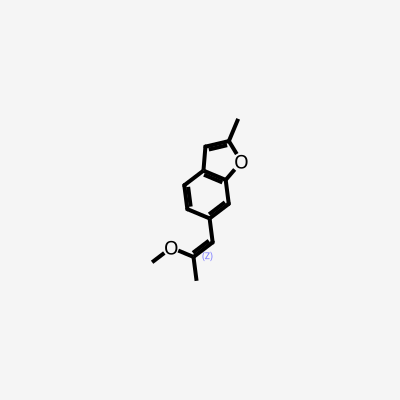 CO/C(C)=C\c1ccc2cc(C)oc2c1